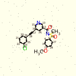 COc1ccc(S(C)(=O)=NC(=O)c2cncc(C#Cc3cccc(Cl)c3)c2)cc1